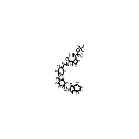 CC(C)(C)OC(=O)NC1CCC1C(=O)NCC1CCN(Cc2ccc(Oc3nc4ccccc4s3)cc2)CC1